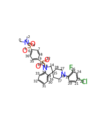 CN(C)S(=O)(=O)c1ccc(S(=O)(=O)N2CC3(CCN(c4ccc(Cl)cc4F)CC3)c3ccccc32)cc1